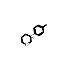 Ic1ccc([C@H]2CCCOC2)cc1